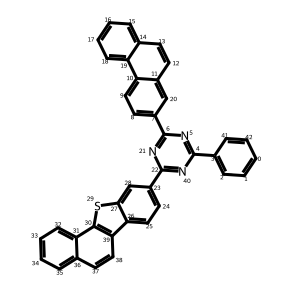 c1ccc(-c2nc(-c3ccc4c(ccc5ccccc54)c3)nc(-c3ccc4c(c3)sc3c5ccccc5ccc43)n2)cc1